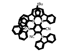 CC(C)(C)c1ccc2c(c1)c1ccc3c4ccccc4sc3c1n2-c1c(-n2c3ccccc3c3ccccc32)c(C#N)c(-n2c3ccccc3c3ccccc32)c(C#N)c1-n1c2ccccc2c2ccccc21